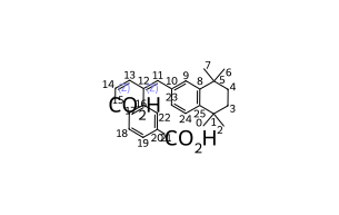 CC1(C)CCC(C)(C)c2cc(/C=C(/C=C\C(=O)O)c3cccc(C(=O)O)c3)ccc21